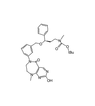 CN(CC[C@@H](OCc1cccc(N2CCN(C)c3nc(O)ncc3C2=O)c1)c1ccccc1)C(=O)OC(C)(C)C